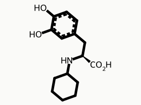 O=C(O)[C@H](Cc1ccc(O)c(O)c1)NC1CCCCC1